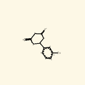 O=C1CC(=O)CC(c2cccc(F)c2)C1